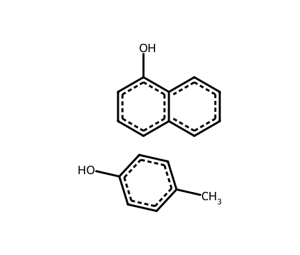 Cc1ccc(O)cc1.Oc1cccc2ccccc12